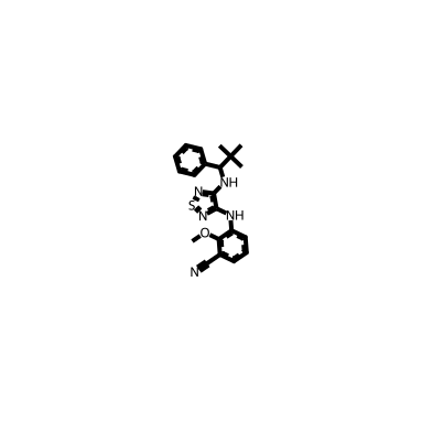 COc1c(C#N)cccc1Nc1nsnc1NC(c1ccccc1)C(C)(C)C